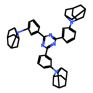 c1cc(-c2nc(-c3cccc(N4C5CC6CC(C5)CC4C6)c3)nc(-c3cccc(N4C5CC6CC(C5)CC4C6)c3)n2)cc(N2C3CC4CC(C3)CC2C4)c1